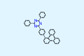 c1ccc(-c2nc(-c3ccccc3)nc(-c3ccc(-c4cccc5c6ccccc6c6ccccc6c45)cc3)n2)cc1